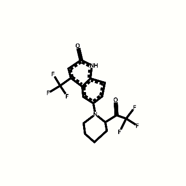 O=C(C1CCCCN1c1ccc2[nH]c(=O)cc(C(F)(F)F)c2c1)C(F)(F)F